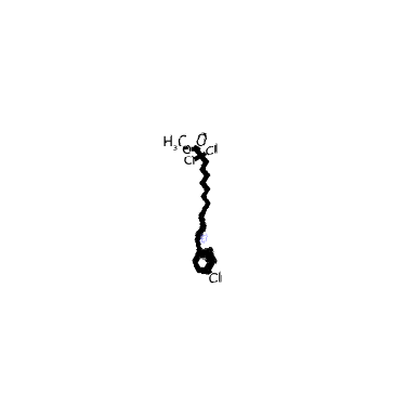 COC(=O)C(Cl)(Cl)CCCCCCCC/C=C/c1ccc(Cl)cc1